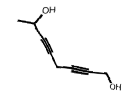 CC(O)C#CCC#CCO